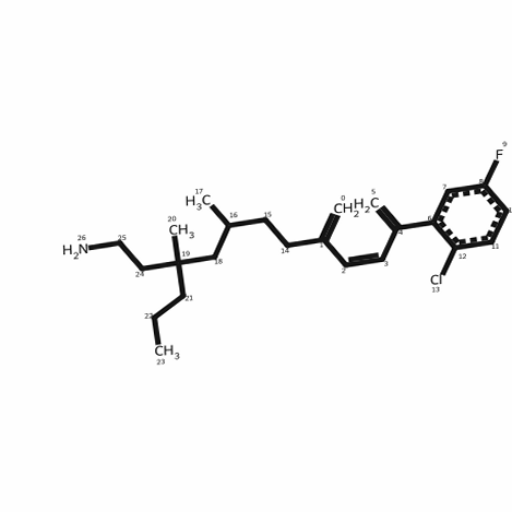 C=C(/C=C\C(=C)c1cc(F)ccc1Cl)CCC(C)CC(C)(CCC)CCN